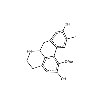 COc1c(O)cc2c3c1-c1cc(C)c(O)cc1CC3NCC2